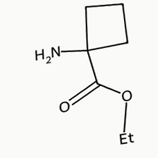 CCOC(=O)C1(N)CCC1